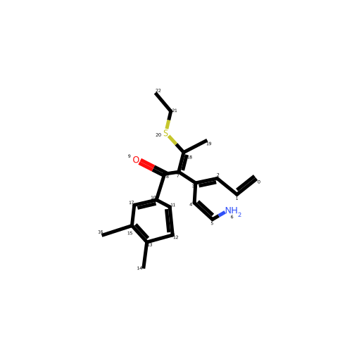 C=C/C=C(\C=C/N)C(/C(=O)c1ccc(C)c(C)c1)=C(\C)SCC